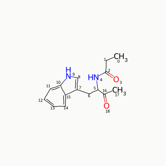 CCC(=O)NC(Cc1c[nH]c2ccccc12)C(C)=O